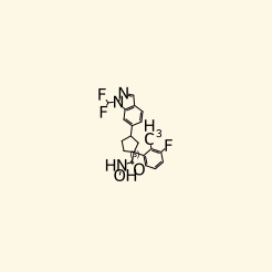 Cc1c(F)cccc1[C@]1(C(=O)NO)CCC(c2ccc3cnn(C(F)F)c3c2)C1